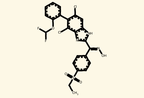 CCS(=O)(=O)c1ccc(C(=NO)c2nc3c(Cl)c(-c4ccccc4OC(F)F)c(Cl)cc3[nH]2)cc1